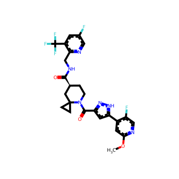 COc1cc(-c2cc(C(=O)N3CC[C@H](C(=O)NCc4ncc(F)cc4C(F)(F)F)CC34CC4)n[nH]2)c(F)cn1